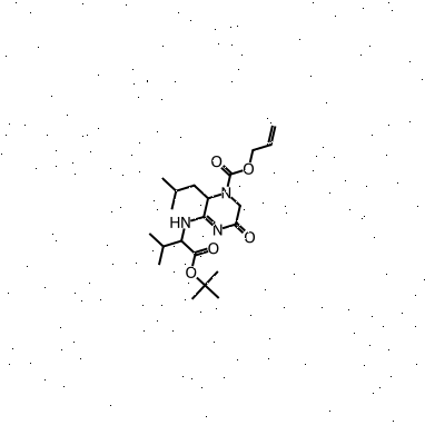 C=CCOC(=O)N1CC(=O)N=C(NC(C(=O)OC(C)(C)C)C(C)C)C1CC(C)C